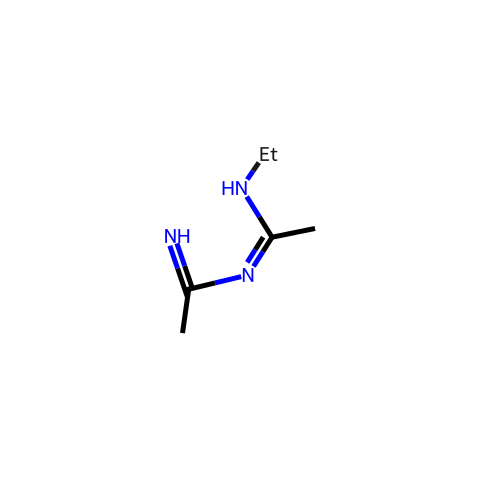 CCN/C(C)=N\C(C)=N